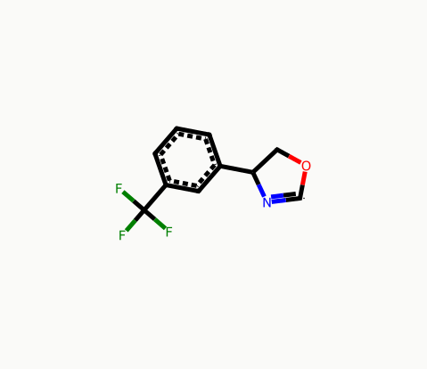 FC(F)(F)c1cccc(C2CO[C]=N2)c1